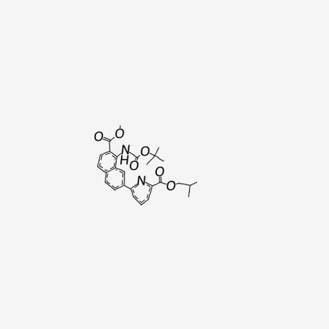 COC(=O)c1ccc2ccc(-c3cccc(C(=O)OCC(C)C)n3)cc2c1NC(=O)OC(C)(C)C